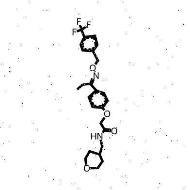 CC/C(=N\OCc1ccc(C(F)(F)F)cc1)c1ccc(OCC(=O)NCC2CCOCC2)cc1